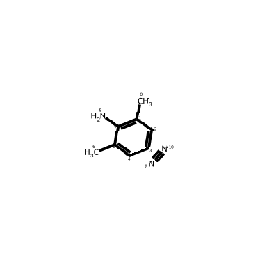 Cc1cccc(C)c1N.N#N